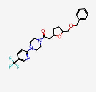 O=C(CC1CCC(COCc2ccccc2)O1)N1CCN(c2ccc(C(F)(F)F)cn2)CC1